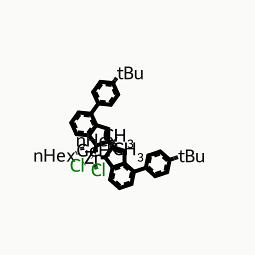 CCCCC[CH2][GeH]([CH2]CCCCC)[Zr]([Cl])([Cl])([CH]1C(C)=Cc2c(-c3ccc(C(C)(C)C)cc3)cccc21)[CH]1C(C)=Cc2c(-c3ccc(C(C)(C)C)cc3)cccc21